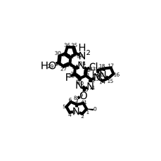 C[C@H]1CN2CCC[C@@]2(COc2nc(N3CC4CCC(C3)N4)c3c(Cl)nc(-c4cc(O)cc5c4C(N)=CC5)c(F)c3n2)C1